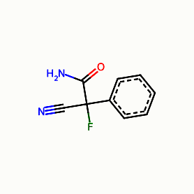 N#CC(F)(C(N)=O)c1ccccc1